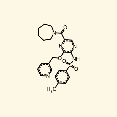 Cc1ccc(S(=O)(=O)Nc2ncc(C(=O)N3CCCCCC3)nc2OCc2cccnc2)cc1